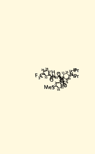 CSc1ccc(S(=O)(=O)CC2CC(N(CC(C)C)C(C)C)CCC2NC(=O)CNC(=O)c2cccc(C(F)(F)F)c2)cc1